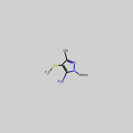 CCCCCn1nc(C#N)c(SC(F)(F)F)c1N